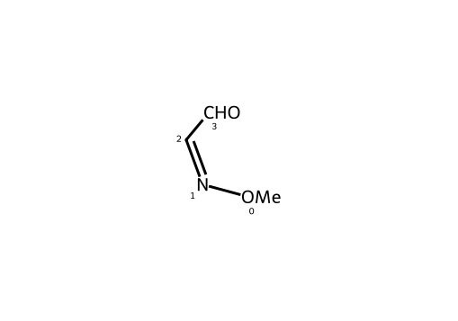 CO/N=C\C=O